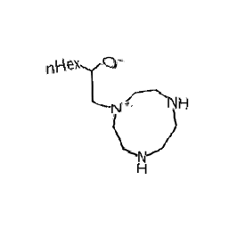 CCCCCCC([O-])C[N+]1CCNCCNCC1